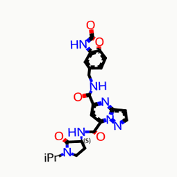 CC(C)N1CC[C@H](NC(=O)c2cc(C(=O)NCc3ccc4oc(=O)[nH]c4c3)nc3ccnn23)C1=O